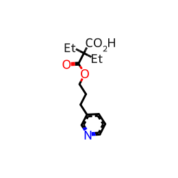 CCC(CC)(C(=O)O)C(=O)OCCCc1cccnc1